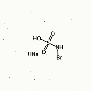 O=S(=O)(O)NBr.[NaH]